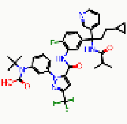 CC(C)C(=O)NC(CCC1CC1)(c1cccnc1)c1ccc(F)c(NC(=O)c2cc(C(F)(F)F)nn2-c2cccc(N(C(=O)O)C(C)(C)C)c2)c1